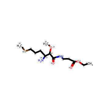 CCOC(=O)CCNC(=O)C(OC)C(N)CCCSC